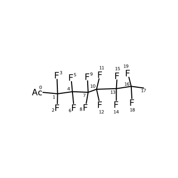 CC(=O)C(F)(F)C(F)(F)C(F)(F)C(F)(F)C(F)(F)C(C)(F)F